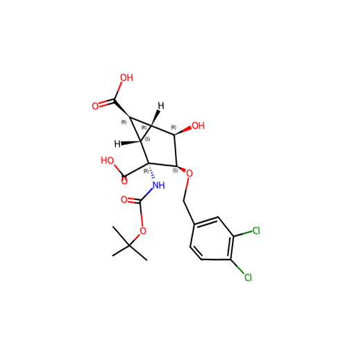 CC(C)(C)OC(=O)N[C@]1(C(=O)O)[C@@H]2[C@@H](C(=O)O)[C@@H]2[C@@H](O)[C@H]1OCc1ccc(Cl)c(Cl)c1